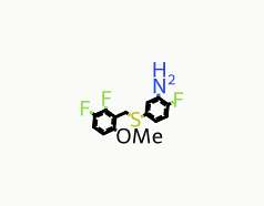 COc1ccc(F)c(F)c1CSc1ccc(F)c(N)c1